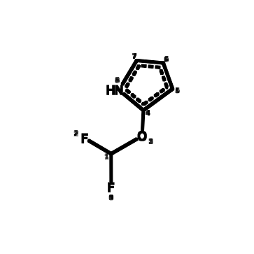 FC(F)Oc1ccc[nH]1